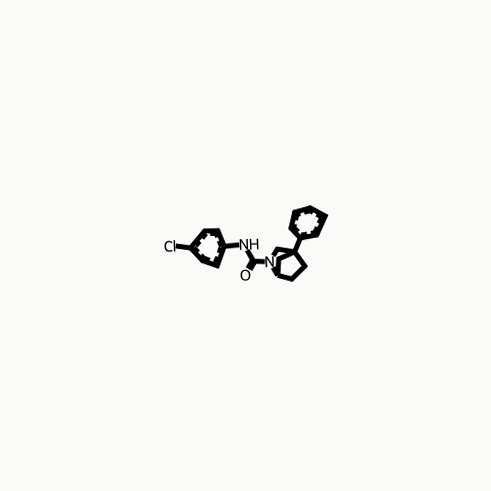 O=C(Nc1ccc(Cl)cc1)N1CC2(c3ccccc3)CCC1C2